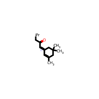 CC1=C/C(=C/C(=O)CC(C)C)CC(C)(C)C1